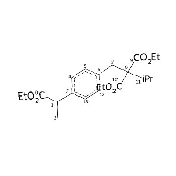 CCOC(=O)C(C)c1ccc(CC(C(=O)OCC)(C(=O)OCC)C(C)C)cc1